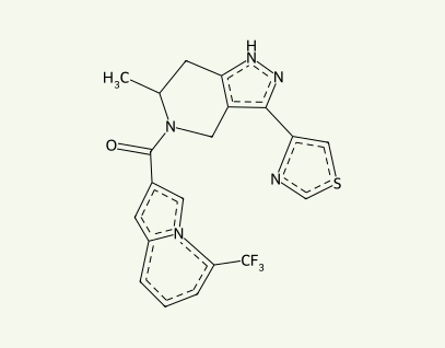 CC1Cc2[nH]nc(-c3cscn3)c2CN1C(=O)c1cc2cccc(C(F)(F)F)n2c1